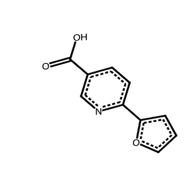 O=C(O)c1ccc(-c2ccco2)nc1